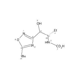 CC[C@H](NC(=O)O)C(O)c1noc(C(C)(C)C)n1